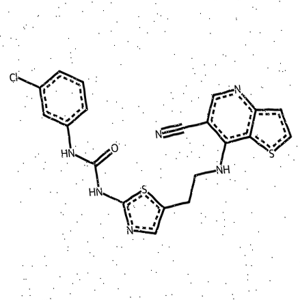 N#Cc1cnc2ccsc2c1NCCc1cnc(NC(=O)Nc2cccc(Cl)c2)s1